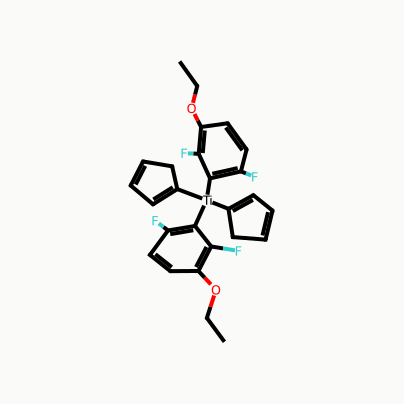 CCOc1ccc(F)[c]([Ti]([C]2=CC=CC2)([C]2=CC=CC2)[c]2c(F)ccc(OCC)c2F)c1F